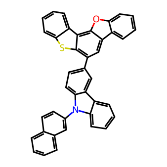 c1ccc2cc(-n3c4ccccc4c4cc(-c5cc6c7ccccc7oc6c6c5sc5ccccc56)ccc43)ccc2c1